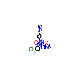 CC(C)NC(=O)Cc1nn(-c2ccc(CCN3CCCC3)cc2)c(=O)n1-c1ccc(F)c(Cl)c1